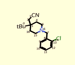 CC(C)(C)C1(CC#N)CCN(Cc2ccccc2Cl)CC1